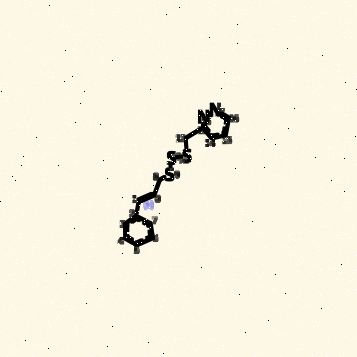 C(=C\c1ccccc1)/CSSSCc1cccnn1